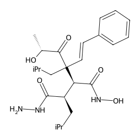 CC(C)C[C@@H](C(=O)NN)[C@H](C(=O)NO)C(/C=C/c1ccccc1)(CC(C)C)C(=O)[C@@H](C)O